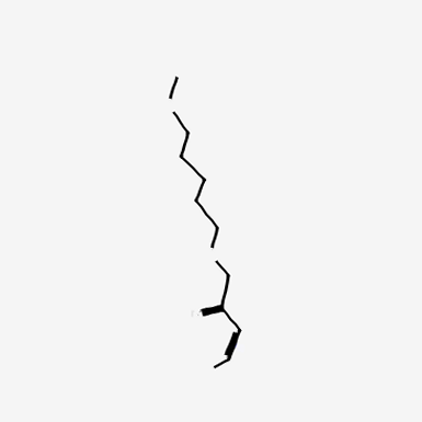 COCCCCCOCC(=N)/C=C\O